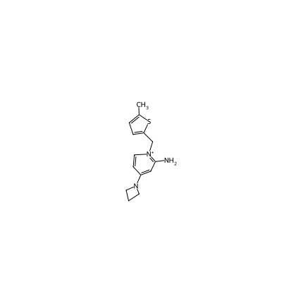 Cc1ccc(C[n+]2ccc(N3CCC3)cc2N)s1